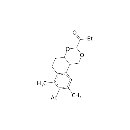 CCC(=O)C1OCC2c3cc(C)c(C(C)=O)c(C)c3CCC2O1